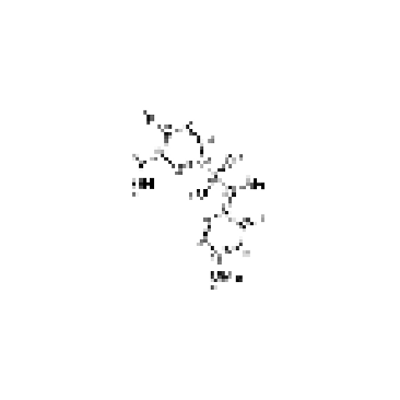 COc1ccc(N(C(C)C)S(=O)(=O)c2ccc(F)c(CO)c2)c(C)c1